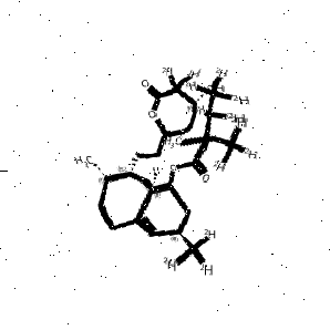 [2H]C([2H])([2H])[C@H]1C=C2C=C[C@H](C)[C@H](CCC3C[C@@H](O)C([2H])([2H])C(=O)O3)[C@H]2C(OC(=O)C(C)(C([2H])([2H])[2H])C([2H])([2H])C([2H])([2H])[2H])C1